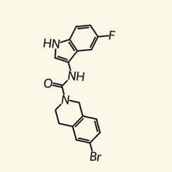 O=C(Nc1c[nH]c2ccc(F)cc12)N1CCc2cc(Br)ccc2C1